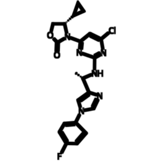 C[C@H](Nc1nc(Cl)cc(N2C(=O)OC[C@@H]2C2CC2)n1)c1cn(-c2ccc(F)cc2)cn1